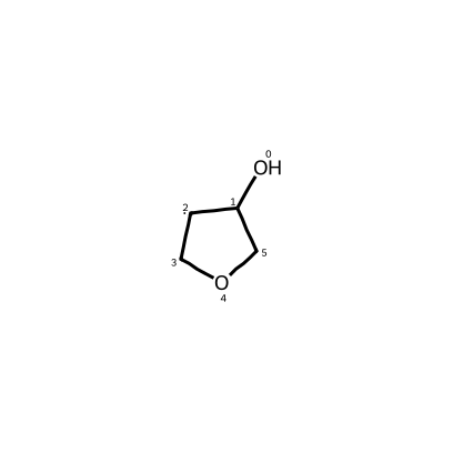 OC1[CH]COC1